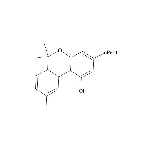 CCCCCC1=CC2OC(C)(C)C3C=CC(C)=CC3C2C(O)=C1